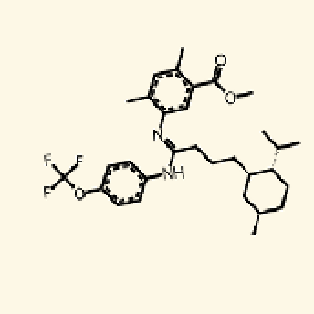 COC(=O)c1cc(/N=C(\CCC[C@@H]2C[C@H](C)CC[C@H]2C(C)C)Nc2ccc(OC(F)(F)F)cc2)c(C)cc1C